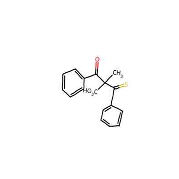 CC(C(=O)O)(C(=O)c1ccccc1)C(=S)c1ccccc1